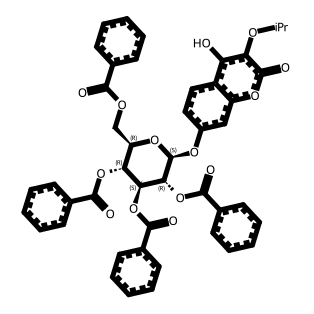 CC(C)Oc1c(O)c2ccc(O[C@@H]3O[C@H](COC(=O)c4ccccc4)[C@@H](OC(=O)c4ccccc4)[C@H](OC(=O)c4ccccc4)[C@H]3OC(=O)c3ccccc3)cc2oc1=O